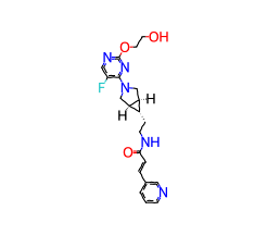 O=C(/C=C/c1cccnc1)NCC[C@@H]1[C@H]2CN(c3nc(OCCO)ncc3F)C[C@@H]12